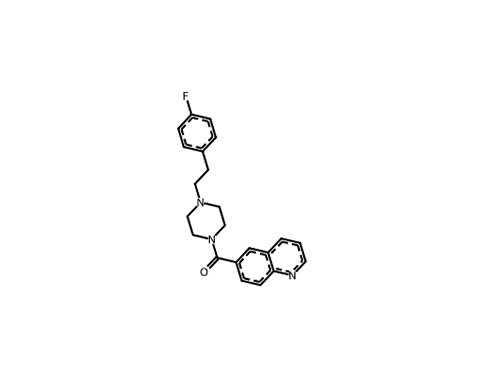 O=C(c1ccc2ncccc2c1)N1CCN(CCc2ccc(F)cc2)CC1